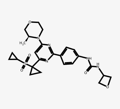 C[C@H]1COCCN1c1cc(C2(S(=O)(=O)C3CC3)CC2)nc(-c2ccc(NC(=O)NC3COC3)cc2)n1